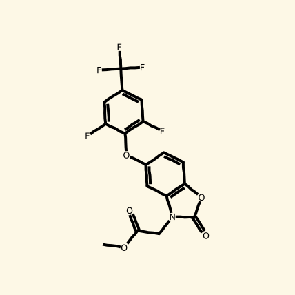 COC(=O)Cn1c(=O)oc2ccc(Oc3c(F)cc(C(F)(F)F)cc3F)cc21